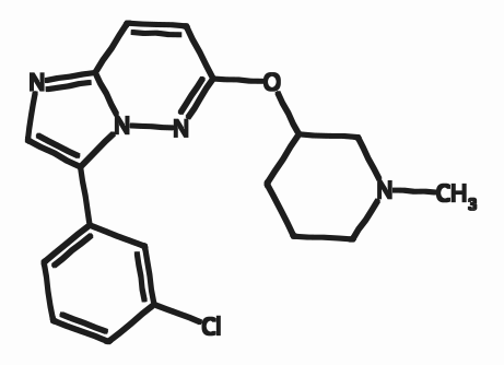 CN1CCCC(Oc2ccc3ncc(-c4cccc(Cl)c4)n3n2)C1